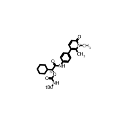 Cc1c(-c2ccc(NC(=O)[C@@H](OC(=O)NC(C)(C)C)C3CCCCC3)cc2)ccc(=O)n1C